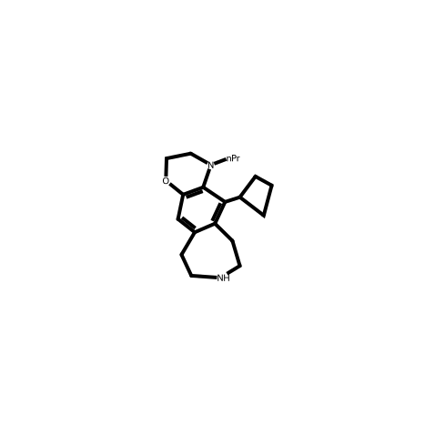 CCCN1CCOc2cc3c(c(C4CCC4)c21)CCNCC3